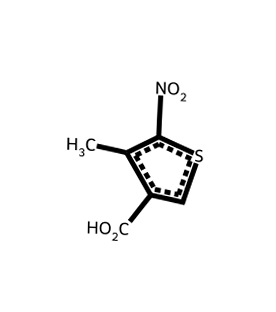 Cc1c(C(=O)O)csc1[N+](=O)[O-]